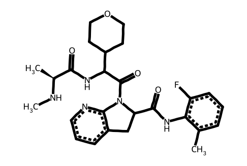 CN[C@@H](C)C(=O)NC(C(=O)N1c2ncccc2CC1C(=O)Nc1c(C)cccc1F)C1CCOCC1